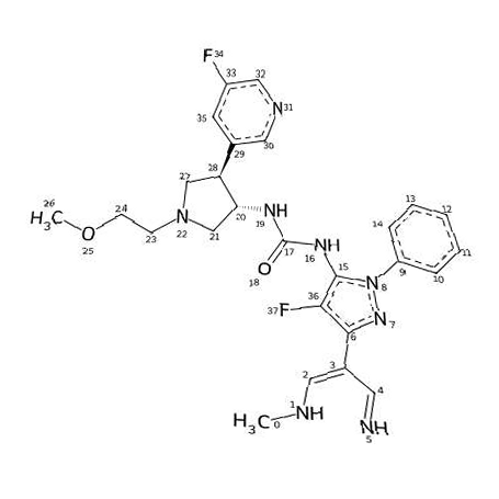 CN/C=C(\C=N)c1nn(-c2ccccc2)c(NC(=O)N[C@@H]2CN(CCOC)C[C@H]2c2cncc(F)c2)c1F